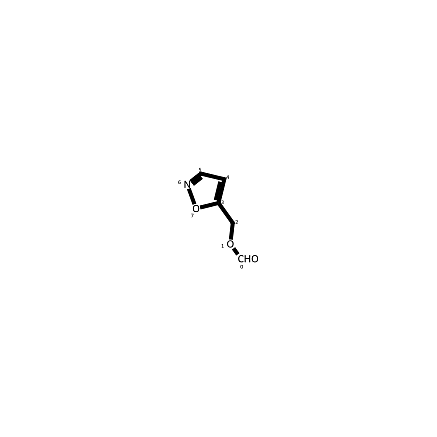 O=COCc1ccno1